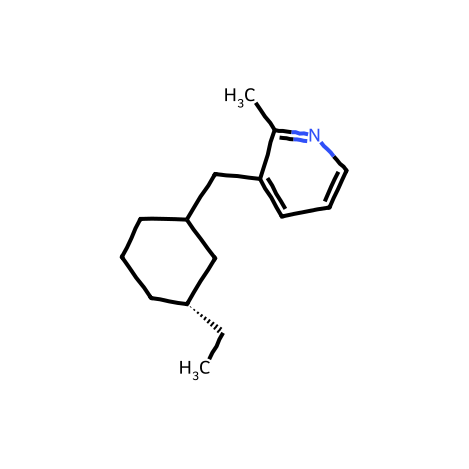 CC[C@@H]1CCCC(Cc2cccnc2C)C1